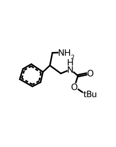 CC(C)(C)OC(=O)NCC(CN)c1ccccc1